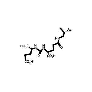 CC(=O)[C@@H](C)CNC(=O)CC[C@H](NC(=S)N[C@@H](CCC(=O)O)C(=O)O)C(=O)O